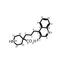 O=C(O)C1(CCCc2c(F)cnc3ccccc23)CCNCC1